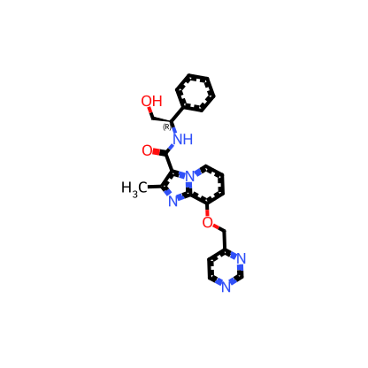 Cc1nc2c(OCc3ccncn3)cccn2c1C(=O)N[C@@H](CO)c1ccccc1